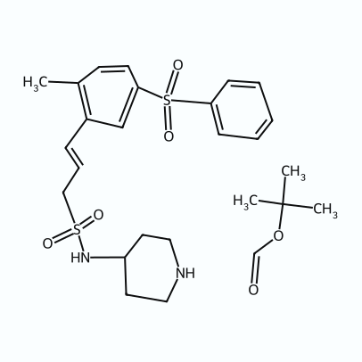 CC(C)(C)OC=O.Cc1ccc(S(=O)(=O)c2ccccc2)cc1C=CCS(=O)(=O)NC1CCNCC1